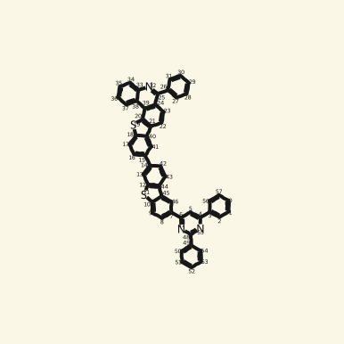 c1ccc(-c2cc(-c3ccc4sc5cc(-c6ccc7sc8c(ccc9c(-c%10ccccc%10)nc%10ccccc%10c98)c7c6)ccc5c4c3)nc(-c3ccccc3)n2)cc1